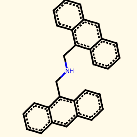 c1ccc2c(CNCc3c4ccccc4cc4ccccc34)c3ccccc3cc2c1